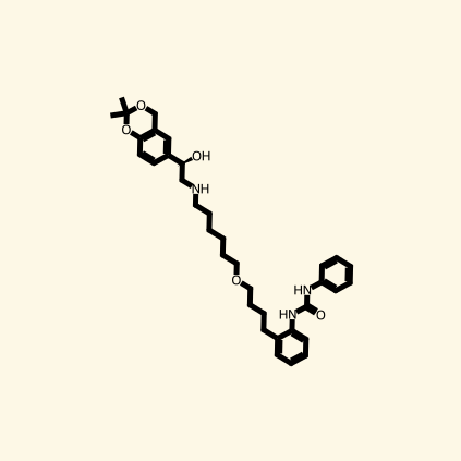 CC1(C)OCc2cc([C@@H](O)CNCCCCCCOCCCCc3ccccc3NC(=O)Nc3ccccc3)ccc2O1